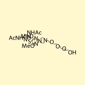 COc1nc(N2CCN(CCOCCOCCOCCO)CC2)nc(OC)c1Sc1nc(NC(C)=O)cc(NC(C)=O)n1